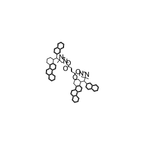 CC1(C(c2ccc3ccccc3c2)C2CCCc3c2ccc2c3ccc3ccccc32)CN(OC(=O)/C=C/C(=O)ON2C=NC(C)(C(c3ccc4ccccc4c3)C3CCCc4c3ccc3c4ccc4ccccc43)C2)C=N1